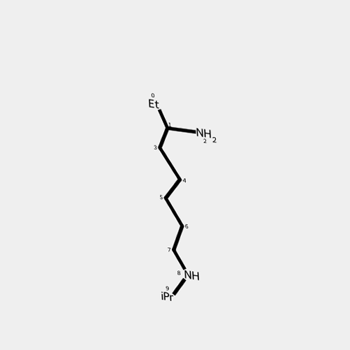 CCC(N)CCCCCNC(C)C